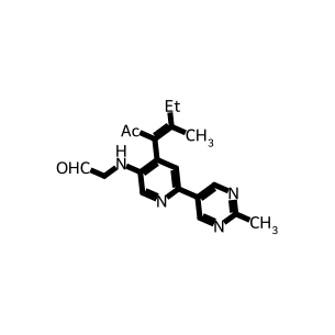 CC/C(C)=C(\C(C)=O)c1cc(-c2cnc(C)nc2)ncc1NCC=O